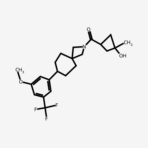 COc1cc(C2CCC3(CC2)CN(C(=O)C2CC(C)(O)C2)C3)cc(C(F)(F)F)c1